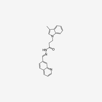 Cc1cn(CCC(=O)NN=Cc2ccc3cccnc3c2)c2ccccc12